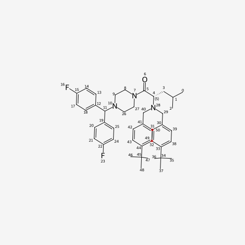 CC(C)C[C@@H](C(=O)N1CCN(C(c2ccc(F)cc2)c2ccc(F)cc2)CC1)N(Cc1ccc(C(C)(C)C)cc1)Cc1ccc(C(C)(C)C)cc1